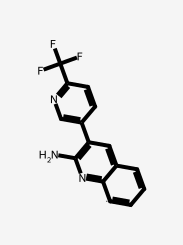 Nc1nc2[c]cccc2cc1-c1ccc(C(F)(F)F)nc1